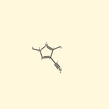 Cc1nn(C)[c]c1C#N